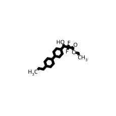 CCCC1CCC(C2CCC(C(O)C(F)(F)C(=O)OCC)CC2)CC1